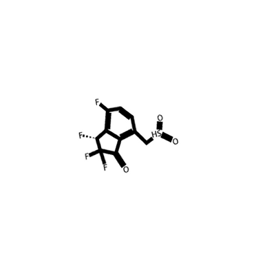 O=C1c2c(C[SH](=O)=O)ccc(F)c2[C@@H](F)C1(F)F